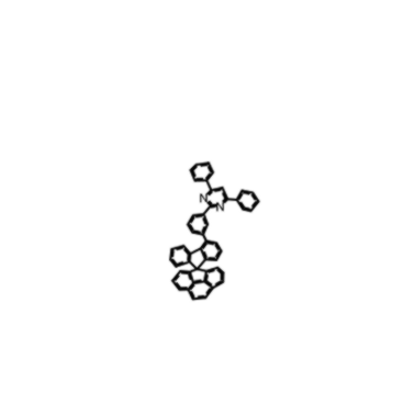 c1ccc(-c2cc(-c3ccccc3)nc(-c3cccc(-c4cccc5c4-c4ccccc4C54c5cccc6ccc7cccc4c7c56)c3)n2)cc1